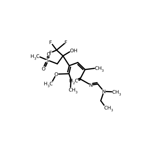 C=C(/N=C/N(C)CC)/C(C)=C\C(=C(/CC)OC)C(O)(CS(C)(=O)=O)C(F)(F)F